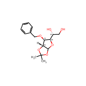 CC1(C)OC2O[C@H]([C@H](O)CO)[C@H](OCc3ccccc3)[C@H]2O1